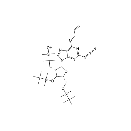 C=CCOc1nc(N=[N+]=[N-])nc2c1ncn2[C@@H]1O[C@H](CO[Si](C)(C)C(C)(C)C)C(O[Si](C)(C)C(C)(C)C)[C@@H]1CC(C)(C)[Si](C)(C)O